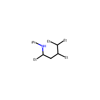 CCC(CC(CC)C(CC)CC)NC(C)C